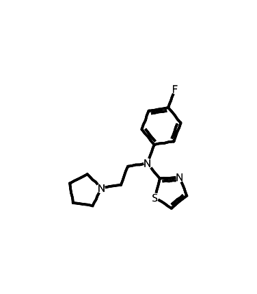 Fc1ccc(N(CCN2CCCC2)c2nccs2)cc1